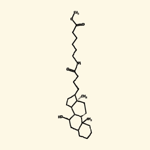 COC(=O)CCCCCNC(=O)CCCC1CCC2C3C(O)CC4CCCCC4(C)C3CC[C@]12C